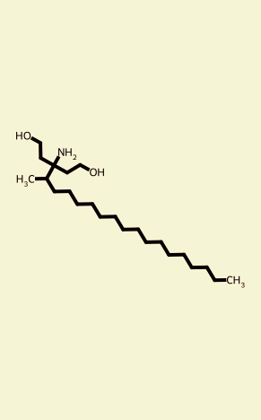 CCCCCCCCCCCCCCCCC(C)C(N)(CCO)CCO